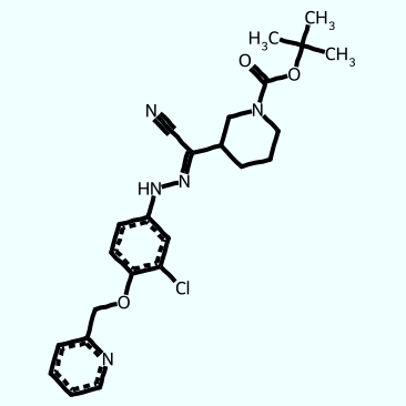 CC(C)(C)OC(=O)N1CCCC(C(C#N)=NNc2ccc(OCc3ccccn3)c(Cl)c2)C1